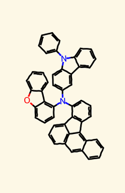 c1ccc(-n2c3ccccc3c3cc(N(c4cccc5c4-c4cccc6cc7ccccc7c-5c46)c4cccc5oc6ccccc6c45)ccc32)cc1